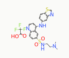 CN(C)CCNS(=O)(=O)c1ccc2nccc(Nc3ccc4scnc4c3)c2c1.O=C(O)C(F)(F)F